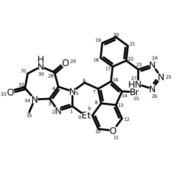 CCc1nc2c(n1Cc1c3ccocc-3c(Br)c1-c1ccccc1-c1nnn[nH]1)C(=O)NCC(=O)N2C